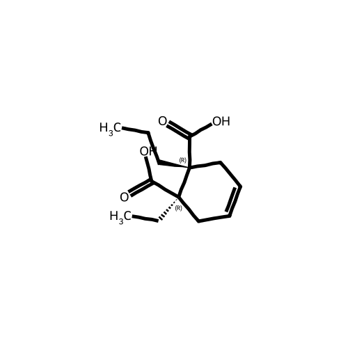 CCC[C@@]1(C(=O)O)CC=CC[C@@]1(CC)C(=O)O